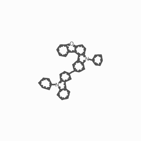 c1ccc(-n2c3ccccc3c3cc(-c4ccc5c(c4)c4c6c(ccc4n5-c4ccccc4)oc4ccccc46)ccc32)cc1